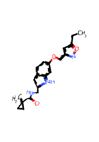 CCc1cc(COc2ccc3cc(CNC(=O)C4(C)CC4)[nH]c3c2)no1